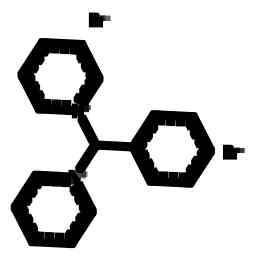 [Br-].[Br-].c1ccc(C([n+]2ccccc2)[n+]2ccccc2)cc1